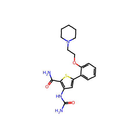 NC(=O)Nc1cc(-c2ccccc2OCCN2CCCCC2)sc1C(N)=O